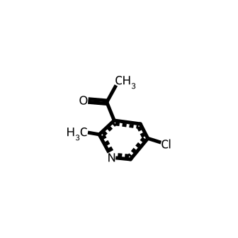 CC(=O)c1cc(Cl)cnc1C